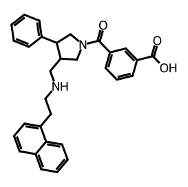 O=C(O)c1cccc(C(=O)N2CC(CNCCc3cccc4ccccc34)C(c3ccccc3)C2)c1